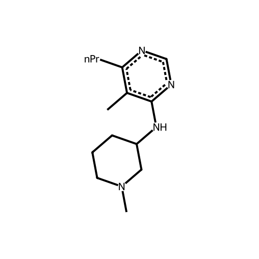 CCCc1ncnc(NC2CCCN(C)C2)c1C